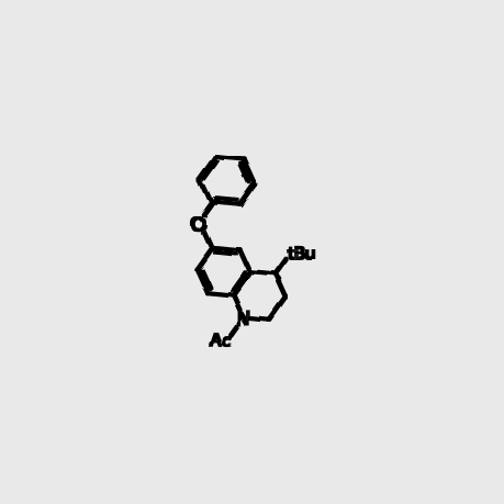 CC(=O)N1CCC(C(C)(C)C)c2cc(Oc3ccccc3)ccc21